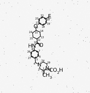 C[C@H]1CN(Cc2ccc(NC(=O)C3CCC(Oc4ccc(F)cc4)CC3)cc2)CCN1C(=O)O